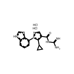 Cl.Cl.N=C(N)NC(=O)c1cnn(-c2cccc3[nH]cnc23)c1C1CC1